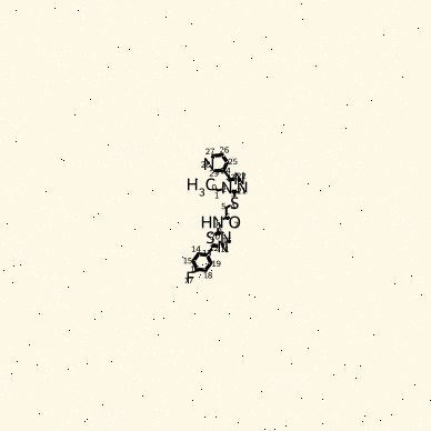 CCn1c(SCC(=O)Nc2nnc(-c3ccc(F)cc3)s2)nnc1-c1cccnc1